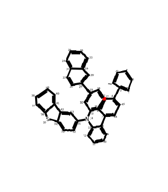 c1ccc(-c2ccc(-c3ccccc3N(c3cccc(-c4ccc5ccccc5c4)c3)c3ccc4sc5ccccc5c4c3)cc2)cc1